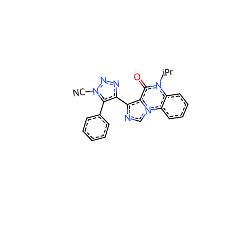 CC(C)n1c(=O)c2c(-c3nnn(C#N)c3-c3ccccc3)ncn2c2ccccc21